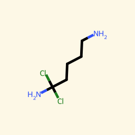 NCCCCC(N)(Cl)Cl